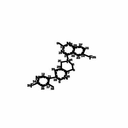 Cc1nc(N2CCc3ncc(-c4cnc(F)cc4C)cc3C2)c2cc(F)ccc2n1